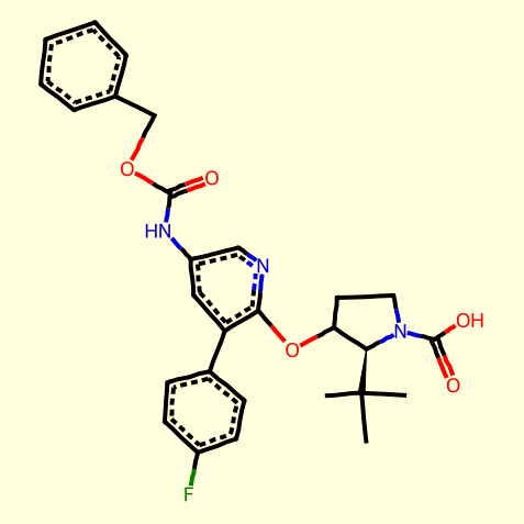 CC(C)(C)[C@H]1C(Oc2ncc(NC(=O)OCc3ccccc3)cc2-c2ccc(F)cc2)CCN1C(=O)O